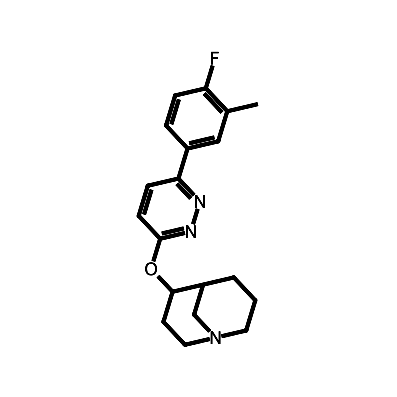 Cc1cc(-c2ccc(OC3CCN4CCCC3C4)nn2)ccc1F